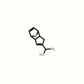 CC(C)C1=CC2C3C=CC(O3)C2C1